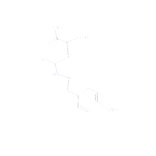 CCCCCCCCCc1ccc(CCNC(CC)CC(C(=O)O)C(=O)OCC(C)C)cc1